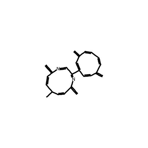 C=C1/C=C\C(C)/C=C\C(=C)/N=C(c2ccc(=C)ccccc(=C)c2)\C=N/1